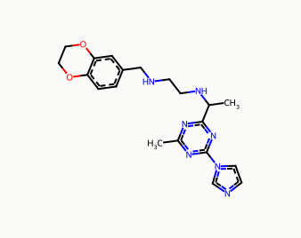 Cc1nc(C(C)NCCNCc2ccc3c(c2)OCCO3)nc(-n2ccnc2)n1